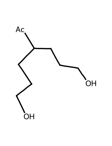 CC(=O)C(CCCO)CCCO